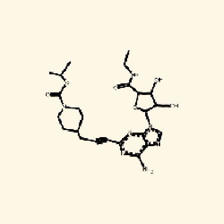 CCNC(=O)C1OC(n2cnc3c(N)nc(C#CCC4CCN(C(=O)OC(C)C)CC4)nc32)C(O)C1O